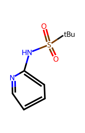 CC(C)(C)S(=O)(=O)Nc1ccccn1